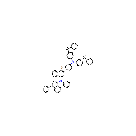 CC1(C)c2ccccc2-c2cc(N(c3ccc4c(c3)C(C)(C)c3ccccc3-4)c3ccc4c(c3)sc3c5ccccc5c(N(c5ccccc5)c5ccc(-c6ccccc6)c6ccccc56)cc43)ccc21